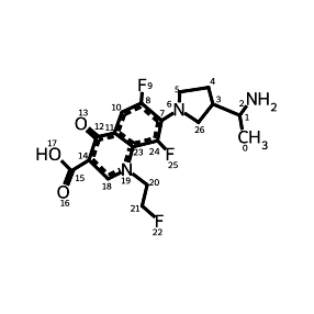 CC(N)C1CCN(c2c(F)cc3c(=O)c(C(=O)O)cn(CCF)c3c2F)C1